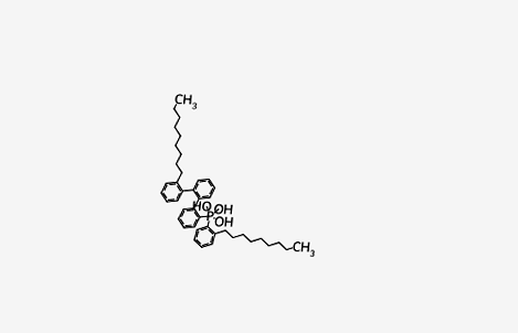 CCCCCCCCCc1ccccc1-c1ccccc1-c1ccccc1P(O)(O)(O)c1ccccc1CCCCCCCCC